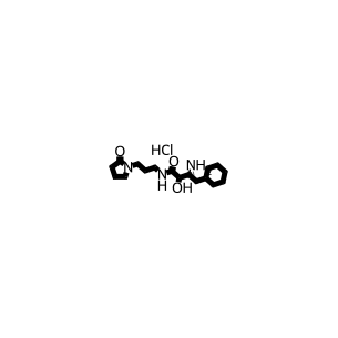 Cl.N[C@H](CC1CCCCC1)C(O)C(=O)NCCCN1CCCC1=O